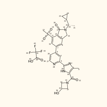 Cc1nc(-c2cc(-c3cc4c(c(S(C)(=O)=O)c3)C(=O)N([C@@H](C)C3CC3)C4)ccn2)[nH]c1C(=O)N1CC(O)C1.O=C(O)C(F)(F)F